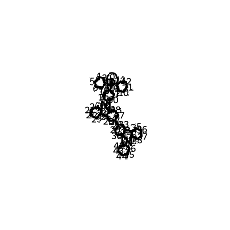 O=P(c1ccccc1)(c1ccccc1)c1ccc(-n2c3ccccc3c3cc(-c4ccc5c(c4)c4ccccc4n5-c4ccccc4)ccc32)cc1